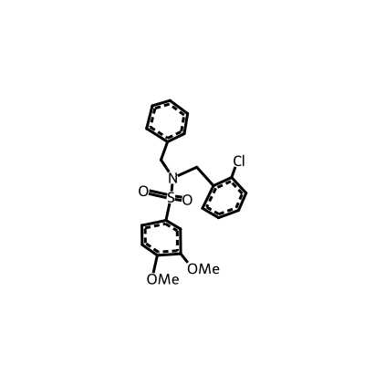 COc1ccc(S(=O)(=O)N(Cc2ccccc2)Cc2ccccc2Cl)cc1OC